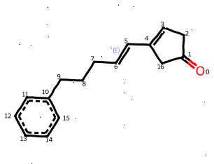 O=C1CC=C(/C=C/CCCc2ccccc2)C1